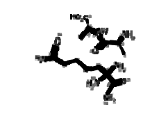 C[C@H](N)C(=O)N[C@H](C)C(=O)O.NC(=O)CCCCC(N)(N)C(N)=O